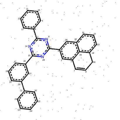 C1=Cc2cc(-c3nc(-c4ccccc4)nc(-c4cccc(-c5ccccc5)c4)n3)cc3cccc(c23)C1